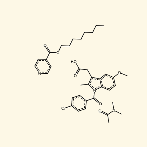 CC(=O)N(C)C.CCCCCCCCOC(=O)c1ccncc1.COc1ccc2c(c1)c(CC(=O)O)c(C)n2C(=O)c1ccc(Cl)cc1